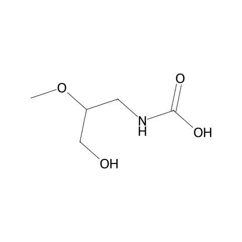 COC(CO)CNC(=O)O